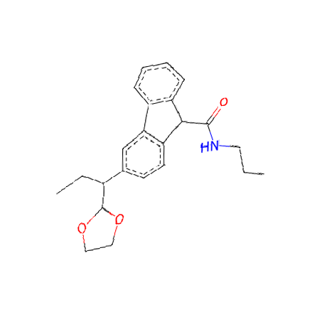 CCCNC(=O)C1c2ccccc2-c2cc(C(CC)C3OCCO3)ccc21